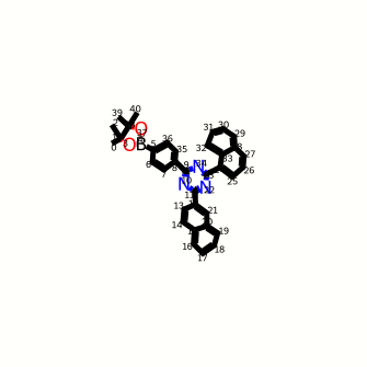 CC1(C)OB(c2ccc(-c3nc(-c4ccc5ccccc5c4)nc(-c4cccc5ccccc45)n3)cc2)OC1(C)C